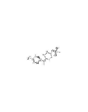 CS(=O)(=O)OC1CCC(Nc2ncc(Br)cn2)CC1